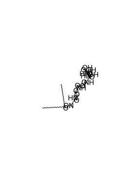 CCCCCCCCCCCCCCCCCCC1(CCCCCCCCCCCCCCCCCC)OCC(CCN(C)CCCCCC(=O)NCC(C)(CC)OCC(C)(C)OCCNC(=O)C(C)(CC)COC(C)(C)CC(=O)NCCCC[C@@H](NC(=O)N[C@H](CCC(=O)O)C(=O)O)C(=O)O)O1